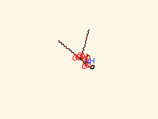 CCCCCCCCCCCCCCCC(=O)OC[C@H](CSC[C@H](NC(=O)OC(C)(C)C)C(=O)OCc1ccccc1)OC(=O)CCCCCCCCCCCCCCC